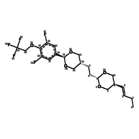 CCC=C[C@H]1CO[C@H](CC[C@H]2CO[C@H](c3cc(F)c(OCC(F)(F)F)c(F)c3)OC2)OC1